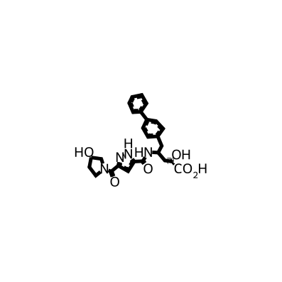 O=C(NC(Cc1ccc(-c2ccccc2)cc1)C[C@@H](O)C(=O)O)c1cc(C(=O)N2CCC(O)C2)n[nH]1